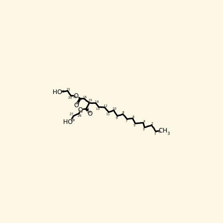 CCCCCCCCCCCCCCCC(CC(=O)OCCO)C(=O)OCCO